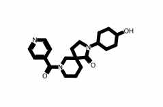 O=C(c1ccncc1)N1CCCC2(CCN(C3CCC(O)CC3)C2=O)C1